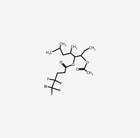 CCC(OC(C)=O)C(OC(=O)CCC(F)(F)C(F)(F)Br)C(C)CC(C)C